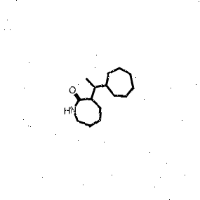 CC(C1CCCCCC1)C1CCCCNC1=O